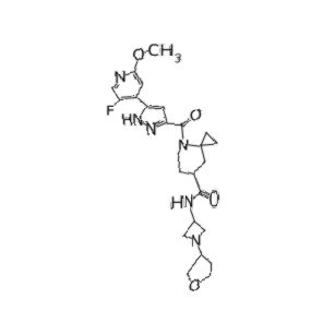 COc1cc(-c2cc(C(=O)N3CCC(C(=O)NC4CN(C5CCOC5)C4)CC34CC4)n[nH]2)c(F)cn1